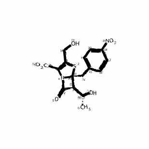 C[C@@H](O)[C@H]1C(=O)N2C(C(=O)O)=C(CO)S[C@]12Cc1ccc([N+](=O)[O-])cc1